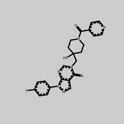 O=C(c1ccncc1)N1CCC(O)(Cn2cnc3c(cnn3-c3ccc(F)cc3)c2=O)CC1